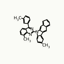 Cc1cccc(-c2nc(-n3c4ccc(C)cc4c4cc5ccccc5cc43)nc3c(C)cccc23)c1